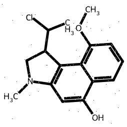 COc1cccc2c(O)cc3c(c12)C(C(C)Cl)CN3C